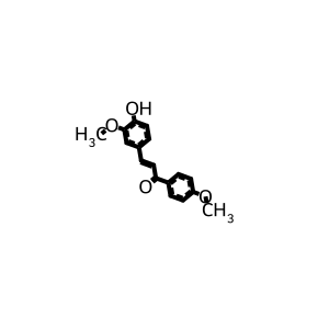 COc1ccc(C(=O)C=Cc2ccc(O)c(OC)c2)cc1